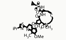 COc1ccc2c(O[C@@]3(C)CC4C(=O)NC5(C(=O)NS(=O)(=O)C6CC6)CC5/C=C\CCCCN(C)C(=O)C4C3)cc(-c3nc(C(C)C)cs3)nc2c1C